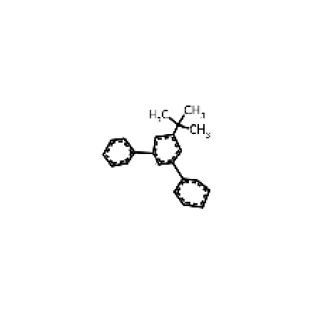 CC(C)(C)c1cc(-c2ccccc2)[c]c(-c2ccccc2)c1